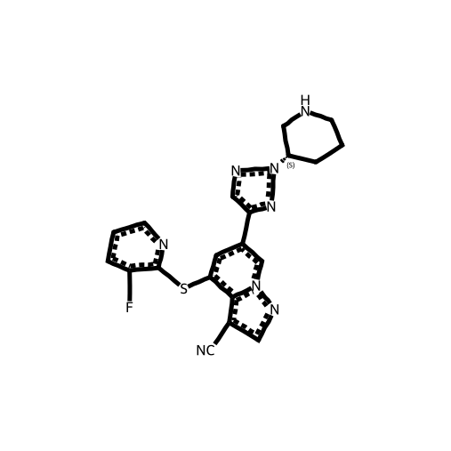 N#Cc1cnn2cc(-c3cnn([C@H]4CCCNC4)n3)cc(Sc3ncccc3F)c12